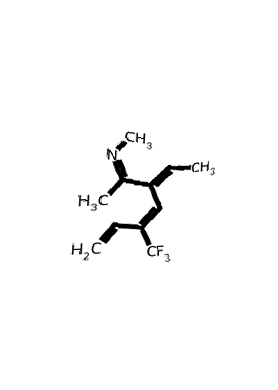 C=C\C(=C/C(=C\C)C(/C)=N\C)C(F)(F)F